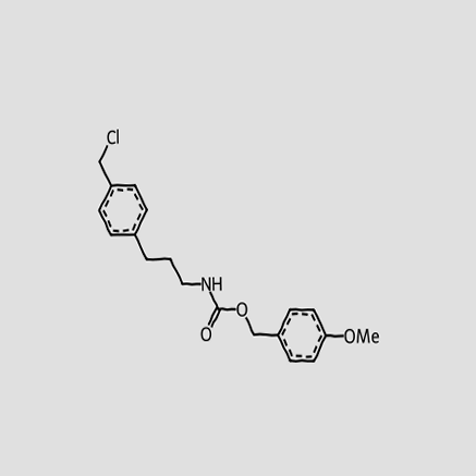 COc1ccc(COC(=O)NCCCc2ccc(CCl)cc2)cc1